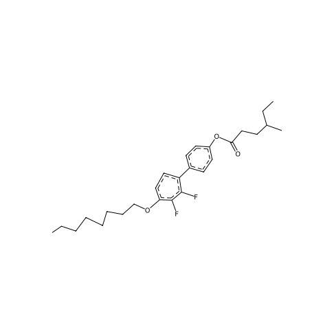 CCCCCCCCOc1ccc(-c2ccc(OC(=O)CCC(C)CC)cc2)c(F)c1F